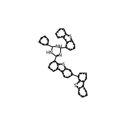 c1ccc(C2NC(c3cccc4c3sc3cc(-c5cccc6c5sc5ccccc56)ccc34)=NC(c3cccc4sc5ccccc5c34)N2)cc1